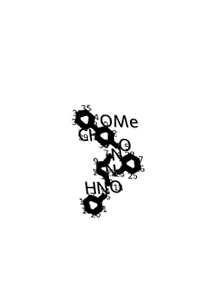 COc1cc(C(=O)N2Cc3ccc(C(=O)NCc4ccccc4)n3Cc3ccccc32)ccc1-c1ccccc1C